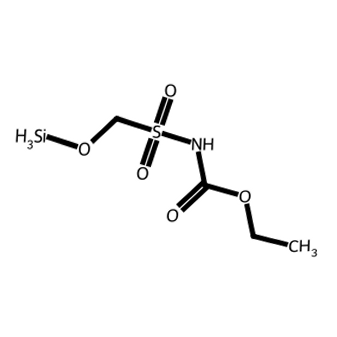 CCOC(=O)NS(=O)(=O)CO[SiH3]